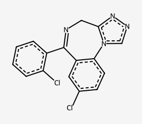 Clc1ccc2c(c1)C(c1ccccc1Cl)=NCc1nncn1-2